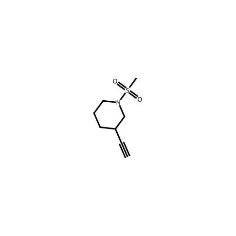 C#CC1CCCN(S(C)(=O)=O)C1